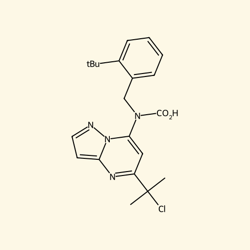 CC(C)(C)c1ccccc1CN(C(=O)O)c1cc(C(C)(C)Cl)nc2ccnn12